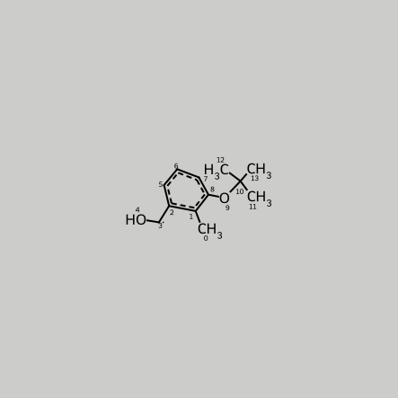 Cc1c([CH]O)cccc1OC(C)(C)C